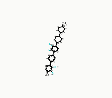 CCc1ccc(-c2ccc(-c3ccc(C4CCC(C5CCC(C)CC5)CC4)c(F)c3F)cc2)c(F)c1F